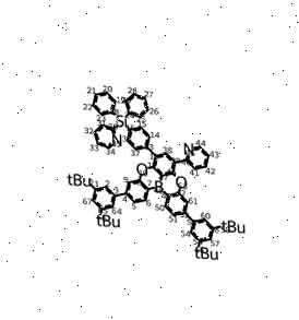 CC(C)(C)c1cc(-c2ccc3c(c2)Oc2c(-c4ccc([Si](c5ccccc5)(c5ccccc5)c5ccccn5)cc4)cc(-c4ccccn4)c4c2B3c2ccc(-c3cc(C(C)(C)C)cc(C(C)(C)C)c3)cc2O4)cc(C(C)(C)C)c1